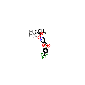 CC(C)(C)C(=O)ON1CCC(CS(=O)(=O)c2ccc(C(F)(F)F)cc2)CC1